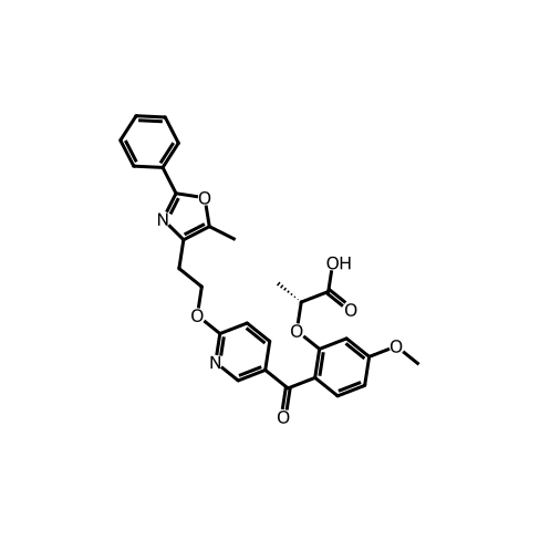 COc1ccc(C(=O)c2ccc(OCCc3nc(-c4ccccc4)oc3C)nc2)c(O[C@H](C)C(=O)O)c1